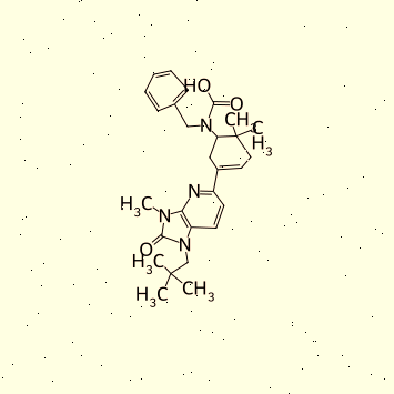 Cn1c(=O)n(CC(C)(C)C)c2ccc(C3=CCC(C)(C)C(N(Cc4ccccc4)C(=O)O)C3)nc21